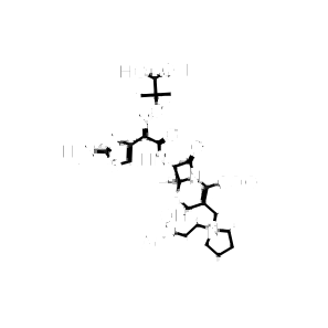 CC(=O)N(O)CC[N+]1(CC2=C(C(=O)[O-])N3C(=O)[C@@H](NC(=O)/C(=N\OC(C)(C)C(O)O)c4csc(N)n4)[C@H]3SC2)CCCC1